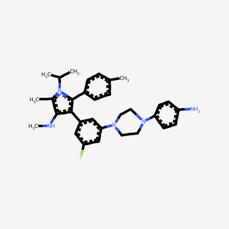 CNc1c(-c2cc(F)cc(N3CCN(c4ccc(N)cc4)CC3)c2)c(-c2ccc(C)cc2)n(C(C)C)c1C